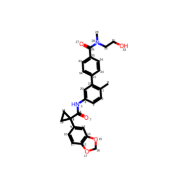 Cc1ccc(NC(=O)C2(c3ccc4c(c3)OCO4)CC2)cc1-c1ccc(C(=O)N(C)CCO)cc1